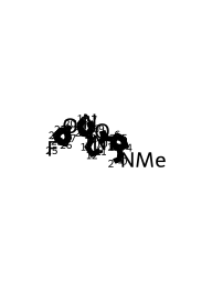 CNC(C)c1cccc(C(=O)N2CCCC2c2cncc(Oc3ccc(F)cc3)c2)c1